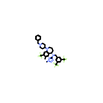 Cc1cc2c(cc1C(F)(F)F)N(C1CCN(Cc3ccccc3)CC1)CCC[C@@H]2N(Cc1cc(C(F)(F)F)cc(C(F)(F)F)c1)c1nnn(C)n1